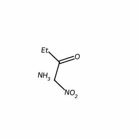 CCC(=O)C[N+](=O)[O-].N